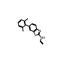 C=CNc1nc2ccc(-c3c(C)cccc3C)cc2s1